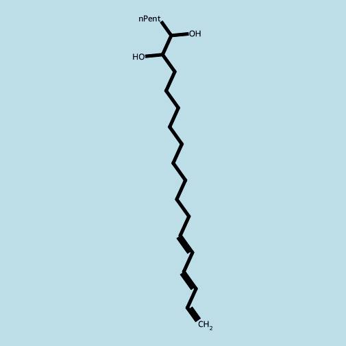 C=CC=CC=CCCCCCCCCCC(O)C(O)CCCCC